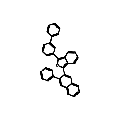 c1ccc(-c2cccc(-c3oc(-c4cc5ccccc5cc4-c4ccccc4)c4ccccc34)c2)cc1